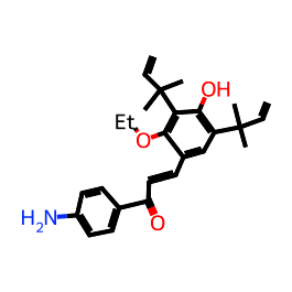 C=CC(C)(C)c1cc(C=CC(=O)c2ccc(N)cc2)c(OCC)c(C(C)(C)C=C)c1O